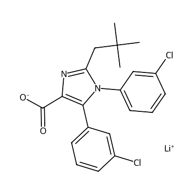 CC(C)(C)Cc1nc(C(=O)[O-])c(-c2cccc(Cl)c2)n1-c1cccc(Cl)c1.[Li+]